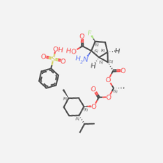 CC(C)[C@@H]1CC[C@@H](C)C[C@H]1OC(=O)O[C@@H](C)OC(=O)[C@H]1[C@@H]2C[C@H](F)[C@@](N)(C(=O)O)[C@@H]21.O=S(=O)(O)c1ccccc1